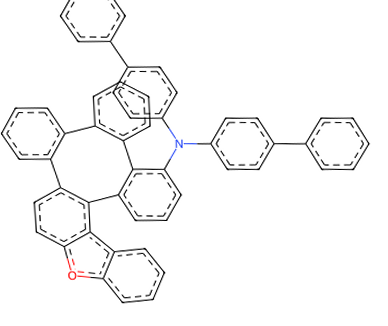 c1ccc(-c2ccc(N(c3ccc(-c4ccccc4)cc3)c3cccc4c3-c3ccccc3-c3ccccc3-c3ccc5oc6ccccc6c5c3-4)cc2)cc1